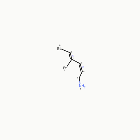 CC/C=C(/C=C\CN)CC